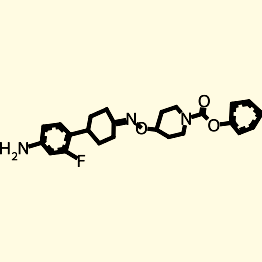 Nc1ccc(C2CCC(=NOC3CCN(C(=O)Oc4ccccc4)CC3)CC2)c(F)c1